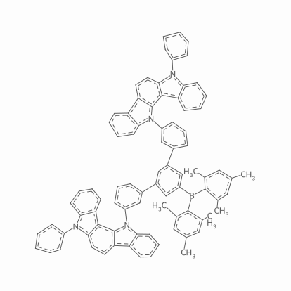 Cc1cc(C)c(B(c2cc(-c3cccc(-n4c5ccccc5c5ccc6c(c7ccccc7n6-c6ccccc6)c54)c3)cc(-c3cccc(-n4c5ccccc5c5ccc6c(c7ccccc7n6-c6ccccc6)c54)c3)c2)c2c(C)cc(C)cc2C)c(C)c1